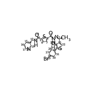 C/C(=N/NC(=O)c1ccc(C(=O)NCc2cccnc2)s1)c1csc(-c2ccc(Br)cc2)c1O